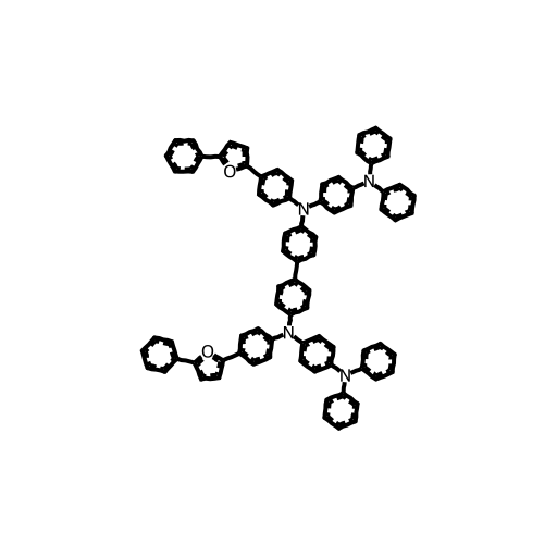 c1ccc(-c2ccc(-c3ccc(N(c4ccc(-c5ccc(N(c6ccc(-c7ccc(-c8ccccc8)o7)cc6)c6ccc(N(c7ccccc7)c7ccccc7)cc6)cc5)cc4)c4ccc(N(c5ccccc5)c5ccccc5)cc4)cc3)o2)cc1